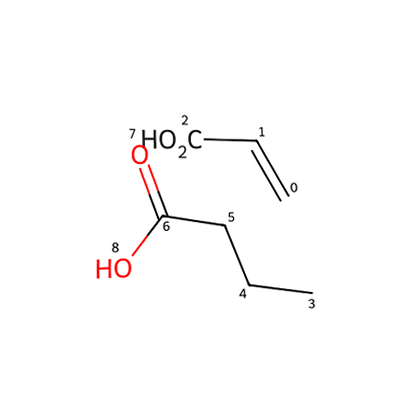 C=CC(=O)O.CCCC(=O)O